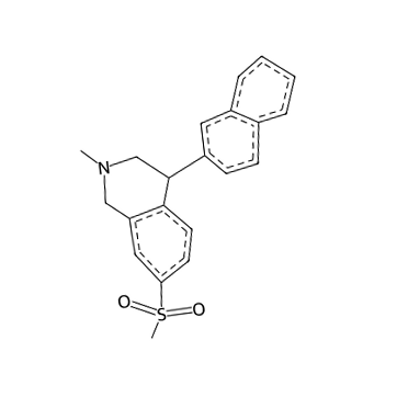 CN1Cc2cc(S(C)(=O)=O)ccc2C(c2ccc3ccccc3c2)C1